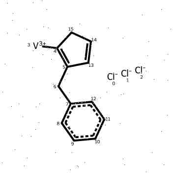 [Cl-].[Cl-].[Cl-].[V+3][C]1=C(Cc2ccccc2)C=CC1